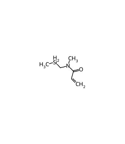 C=CC(=O)N(C)C[SiH2]C